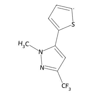 Cn1nc(C(F)(F)F)cc1-c1cc[c]s1